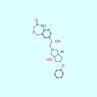 O=C1COCc2cc([C@H](O)CN3C[C@H]4C[C@H](Oc5ccccc5)C[C@@]4(O)C3)cc(F)c2N1